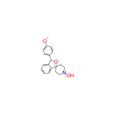 COc1ccc(C2OC3(CCN(O)CC3)c3ccccc32)cc1